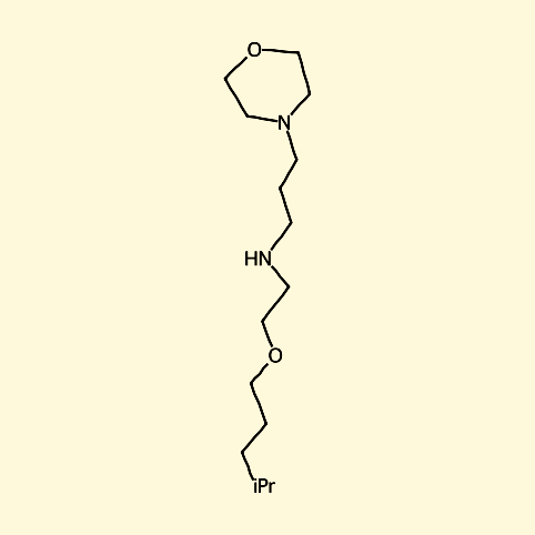 CC(C)CCCOCCNCCCN1CCOCC1